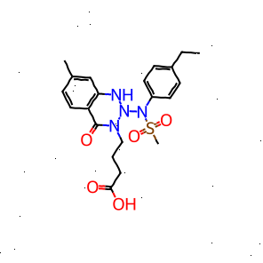 CCc1ccc(N(N2Nc3cc(C)ccc3C(=O)N2CCCC(=O)O)S(C)(=O)=O)cc1